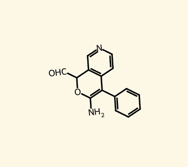 NC1=C(c2ccccc2)c2ccncc2C(C=O)O1